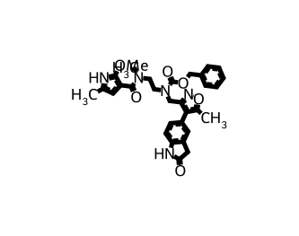 COc1[nH]c(C)cc1C(=O)N(C)CCN(Cc1noc(C)c1-c1ccc2c(c1)CC(=O)N2)C(=O)OCc1ccccc1